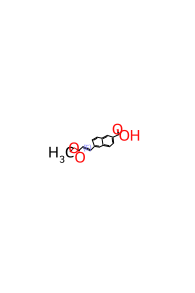 COC(=O)/C=C/c1ccc2cc(C(=O)O)ccc2c1